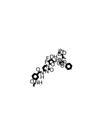 CC(C)OC(=O)[C@@H](C)NP(=O)(OC[C@H]1OC(n2ccc(NC(=O)c3ccc4c(c3)NC(C)O4)nc2=O)C(F)(F)[C@@H]1O)Oc1ccccc1